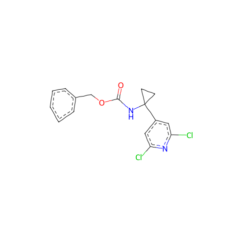 O=C(NC1(c2cc(Cl)nc(Cl)c2)CC1)OCc1ccccc1